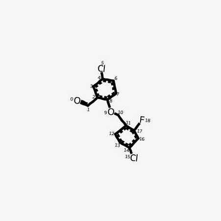 O=Cc1cc(Cl)ccc1OCc1ccc(Cl)cc1F